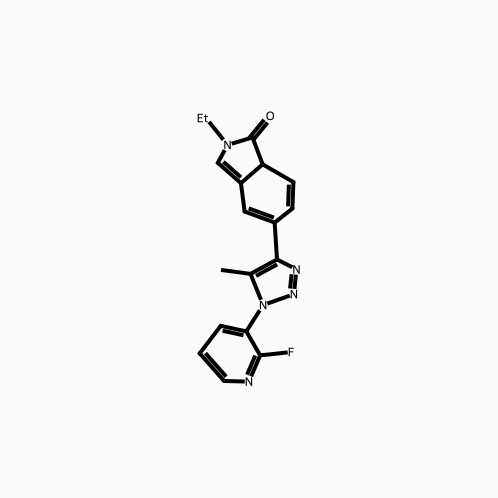 CCN1C=C2C=C(c3nnn(-c4cccnc4F)c3C)C=CC2C1=O